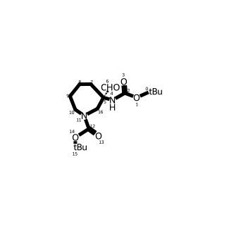 CC(C)(C)OC(=O)N[C@]1(C=O)CCCCN(C(=O)OC(C)(C)C)C1